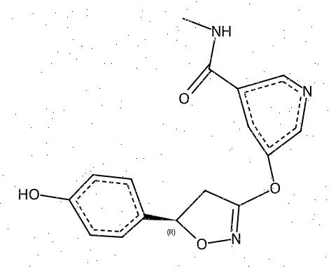 CNC(=O)c1cncc(OC2=NO[C@@H](c3ccc(O)cc3)C2)c1